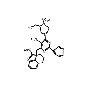 COC(=O)C1(Cc2nc(-c3cccnc3)nc(N3CCN(C(=O)O)C(CC#N)C3)c2[N+](=O)[O-])CCCc2ccccc21